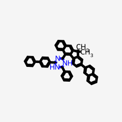 CC1(C)c2cc(-c3ccc4ccccc4c3)ccc2-c2c1cc1ccccc1c2C1N=C(c2ccc(-c3ccccc3)cc2)NC(c2ccccc2)N1